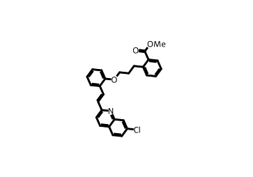 COC(=O)c1ccccc1CCCOc1ccccc1C=Cc1ccc2ccc(Cl)cc2n1